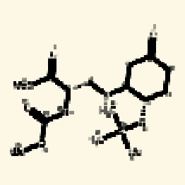 COC(=O)[C@H](CSC1CC(=O)CC[C@@H]1O[Si](C)(C)C(C)(C)C)NC(=O)OC(C)(C)C